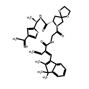 C=C/C(=C\C1=C(C)C(C)(C)c2ccccc21)C(=O)NCC(=O)N1CC2(C[C@H]1C(=O)N[C@H](C)c1cc(C(=N)N)cs1)OCCO2